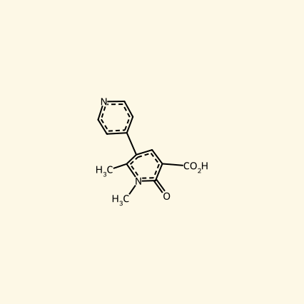 Cc1c(-c2ccncc2)cc(C(=O)O)c(=O)n1C